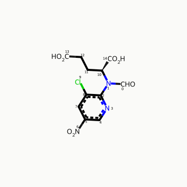 O=CN(c1ncc([N+](=O)[O-])cc1Cl)[C@@H](CCC(=O)O)C(=O)O